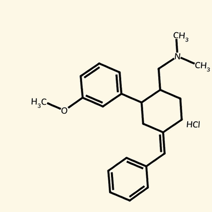 COc1cccc(C2CC(=Cc3ccccc3)CCC2CN(C)C)c1.Cl